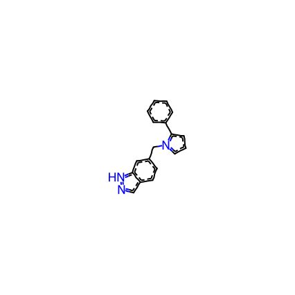 c1ccc(-c2cccn2Cc2ccc3cn[nH]c3c2)cc1